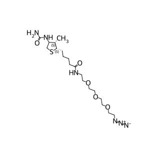 C[C@H]1C(NC(N)=O)CS[C@H]1CCCCC(=O)NCCOCCOCCOCCN=[N+]=[N-]